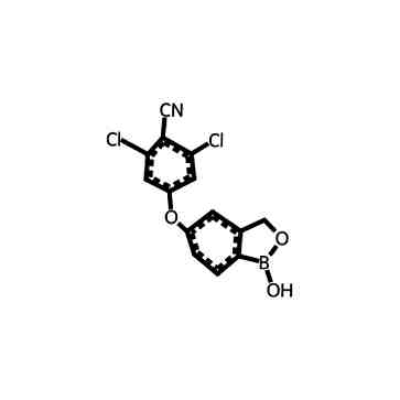 N#Cc1c(Cl)cc(Oc2ccc3c(c2)COB3O)cc1Cl